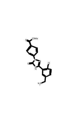 COC(=O)c1ccc(-n2nc(-c3cc(CN)ccc3Cl)[nH]c2=O)cc1